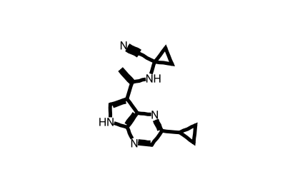 C=C(NC1(C#N)CC1)c1c[nH]c2ncc(C3CC3)nc12